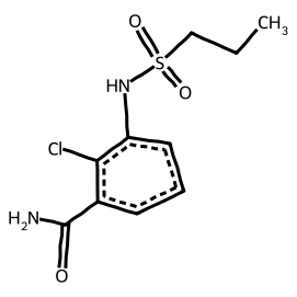 CCCS(=O)(=O)Nc1cccc(C(N)=O)c1Cl